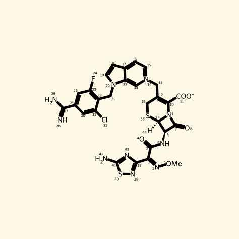 CO/N=C(\C(=O)N[C@@H]1C(=O)N2C(C(=O)[O-])=C(C[n+]3ccc4ccn(Cc5c(F)cc(C(=N)N)cc5Cl)c4c3)CS[C@H]12)c1nsc(N)n1